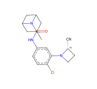 CC1CC2CC(C1)N2C(=O)Nc1ccc(Cl)c(N2CC[C@H]2C#N)c1